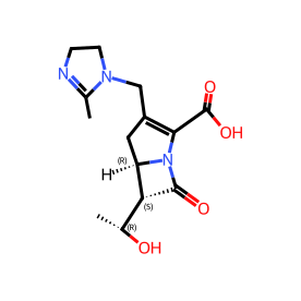 CC1=NCCN1CC1=C(C(=O)O)N2C(=O)[C@H]([C@@H](C)O)[C@H]2C1